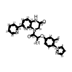 CCC(Oc1ccc(-n2cccn2)c(F)c1)C(=O)N1CC(=O)Nc2ccc(-c3ccccn3)nc21